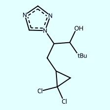 CC(C)(C)C(O)C(CC1CC1(Cl)Cl)n1cncn1